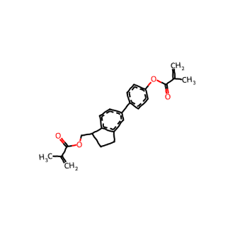 C=C(C)C(=O)OCC1CCc2cc(-c3ccc(OC(=O)C(=C)C)cc3)ccc21